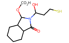 O=C(O)OC1C2CCCCC2C(=O)N1C(O)CCS